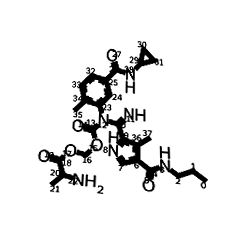 CCCNC(=O)c1c[nH]c(C(=N)N(C(=O)OCOC(=O)C(C)N)c2cc(C(=O)NC3CC3)ccc2C)c1C